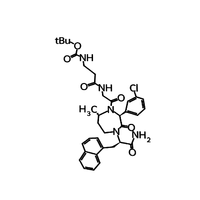 C[C@@H]1CCN([C@H](Cc2cccc3ccccc23)C(N)=O)C(=O)[C@H](c2cccc(Cl)c2)N1C(=O)CNC(=O)CCNC(=O)OC(C)(C)C